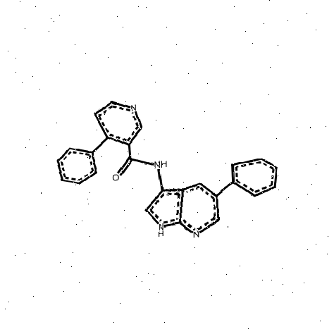 O=C(Nc1c[nH]c2ncc(-c3ccccc3)cc12)c1cnccc1-c1ccccc1